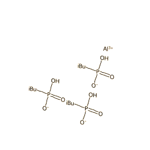 CCC(C)P(=O)([O-])O.CCC(C)P(=O)([O-])O.CCC(C)P(=O)([O-])O.[Al+3]